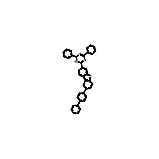 c1ccc(C2=NC(c3ccccc3)NC(c3ccc4c(c3)oc3ccc(-c5ccc(-c6ccccc6)cc5)cc34)=N2)cc1